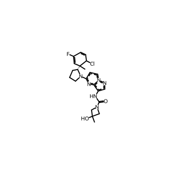 CC1(O)CN(C(=O)Nc2cnn3ccc(N4CCC[C@@H]4C4(C)C=C(F)C=CC4Cl)nc23)C1